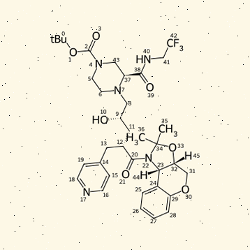 CC(C)(C)OC(=O)N1CCN(C[C@@H](O)C[C@@H](Cc2ccncc2)C(=O)N2[C@H]3c4ccccc4OC[C@H]3OC2(C)C)[C@H](C(=O)NCC(F)(F)F)C1